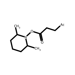 CC(=O)CCC(=O)ON1C(C)CCCC1C